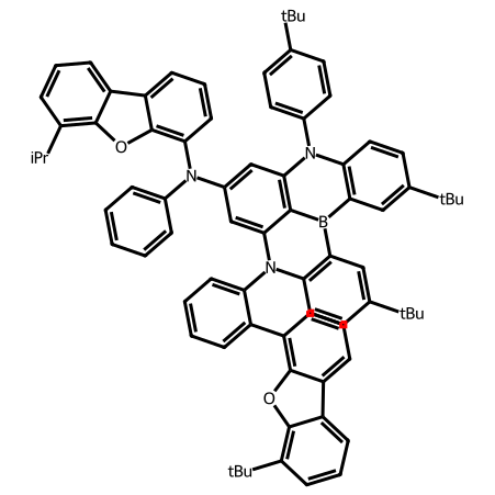 CC(C)c1cccc2c1oc1c(N(c3ccccc3)c3cc4c5c(c3)N(c3ccccc3-c3cccc6c3oc3c(C(C)(C)C)cccc36)c3ccc(C(C)(C)C)cc3B5c3cc(C(C)(C)C)ccc3N4c3ccc(C(C)(C)C)cc3)cccc12